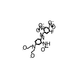 COCCN(CCOC)c1ccc(/N=N/c2cc(F)c([N+](=O)[O-])cc2[N+](=O)[O-])c(NC(C)=O)c1